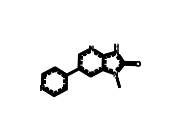 Cn1c(=O)[nH]c2ncc(-c3ccncc3)cc21